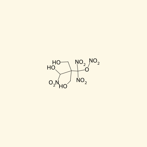 O=[N+]([O-])OC([N+](=O)[O-])([N+](=O)[O-])C(CO)(CO)C(O)[N+](=O)[O-]